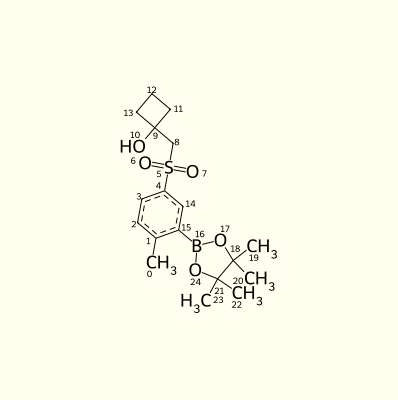 Cc1ccc(S(=O)(=O)CC2(O)CCC2)cc1B1OC(C)(C)C(C)(C)O1